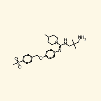 CC1CCN(/C(=N\c2ccc(OCc3ccc(S(C)(=O)=O)cc3)cc2)NCC(C)(C)CN)CC1